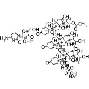 CC(=O)OCC(=O)[C@@]1(O)[C@H](C)C[C@H]2[C@@H]3CCC4=CC(=O)C=C[C@]4(C)[C@@]3(F)C(O)C[C@@]21C.C[C@@H]1C[C@H]2[C@@H]3CCC4=CC(=O)C=C[C@]4(C)[C@@]3(F)[C@@H](O)C[C@]2(C)[C@@]1(O)C(=O)CO.C[C@@H]1C[C@H]2[C@@H]3CCC4=CC(=O)C=C[C@]4(C)[C@@]3(F)[C@@H](O)C[C@]2(C)[C@@]1(O)C(=O)CO.Nc1ccn([C@@H]2O[C@H](CO)[C@@H](O)[C@@H]2O)c(=O)n1.O=P([O-])(O)O.[Na+]